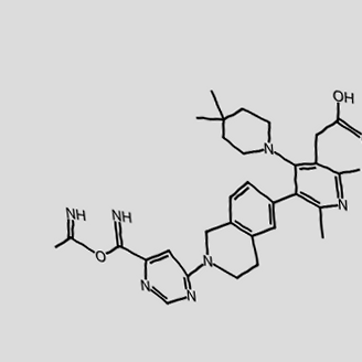 CC(=N)OC(=N)c1cc(N2CCc3cc(-c4c(C)nc(C)c(CC(=O)O)c4N4CCC(C)(C)CC4)ccc3C2)ncn1